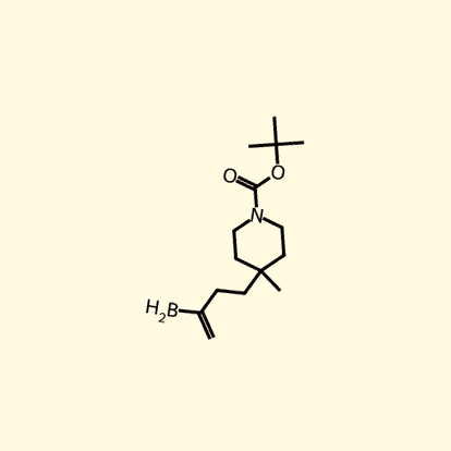 BC(=C)CCC1(C)CCN(C(=O)OC(C)(C)C)CC1